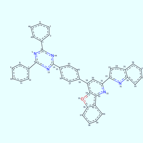 c1ccc(-c2nc(-c3ccccc3)nc(-c3ccc(-c4cc(-c5ccc6ccccc6n5)nc5c4oc4ccccc45)cc3)n2)cc1